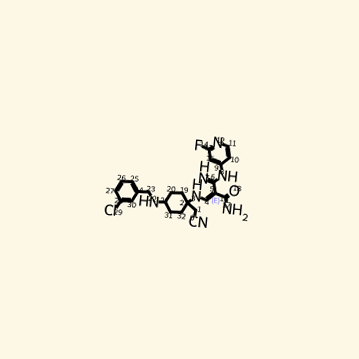 N#CCC1(N/C=C(\C(=N)Nc2ccnc(F)c2)C(N)=O)CCC(NCc2cccc(Cl)c2)CC1